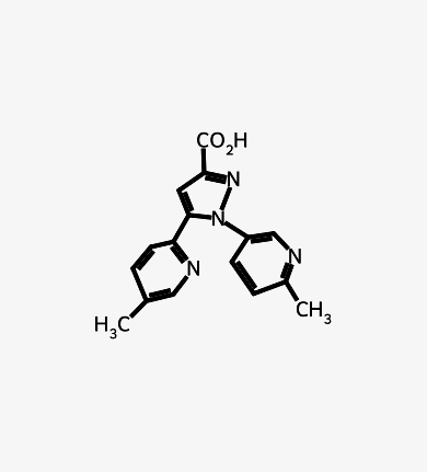 Cc1ccc(-c2cc(C(=O)O)nn2-c2ccc(C)nc2)nc1